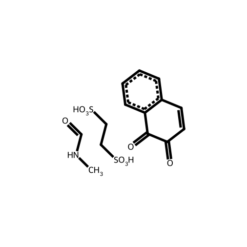 CNC=O.O=C1C=Cc2ccccc2C1=O.O=S(=O)(O)CCS(=O)(=O)O